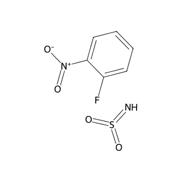 N=S(=O)=O.O=[N+]([O-])c1ccccc1F